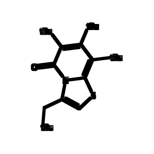 CC(C)(C)Cc1csc2c(C(C)(C)C)c(C(C)(C)C)c(C(C)(C)C)c(=O)n12